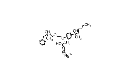 CC(=O)O.CCCCCC(C)(C)c1ccc(OCCOCC[N+](C)(C)Cc2ccccc2)cc1.[Cl-].[Cl-].[Cl-].[Hg+2]